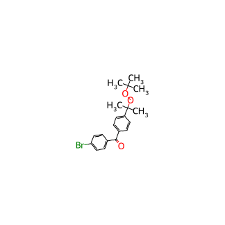 CC(C)(C)OOC(C)(C)c1ccc(C(=O)c2ccc(Br)cc2)cc1